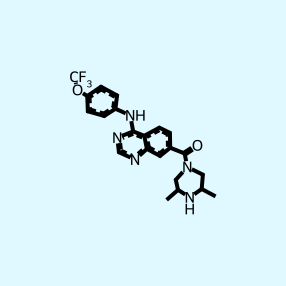 CC1CN(C(=O)c2ccc3c(Nc4ccc(OC(F)(F)F)cc4)ncnc3c2)CC(C)N1